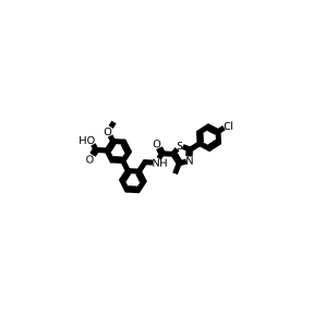 COc1ccc(-c2ccccc2CNC(=O)c2sc(-c3ccc(Cl)cc3)nc2C)cc1C(=O)O